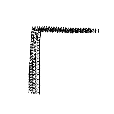 [NaH].[NaH].[NaH].[NaH].[NaH].[NaH].[NaH].[NaH].[NaH].[NaH].[NaH].[NaH].[NaH].[NaH].[NaH].[NaH].[NaH].[NaH].[NaH].[NaH].[NaH].[NaH].[NaH].[NaH].[NaH].[NaH].[NaH].[NaH].[NaH].[NaH].[NaH].[NaH].[NaH].[NaH].[NaH].[NaH].[NaH].[NaH].[NaH].[NaH].[NaH].[NaH].[NaH].[NaH].[NaH].[NaH].[NaH].[NaH]